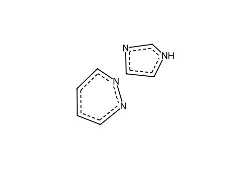 c1c[nH]cn1.c1ccnnc1